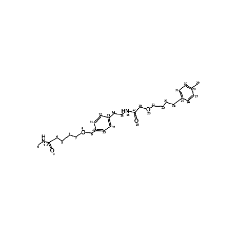 CNC(=O)CCCCOCc1ccc(CCNC(=O)COCCCCc2ccc(C)cc2)cc1